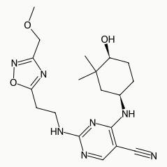 COCc1noc(CCNc2ncc(C#N)c(N[C@@H]3CC[C@H](O)C(C)(C)C3)n2)n1